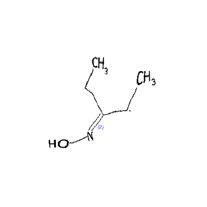 C[CH]/C(CC)=N/O